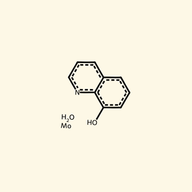 O.Oc1cccc2cccnc12.[Mo]